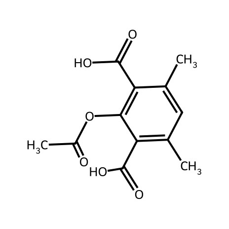 CC(=O)Oc1c(C(=O)O)c(C)cc(C)c1C(=O)O